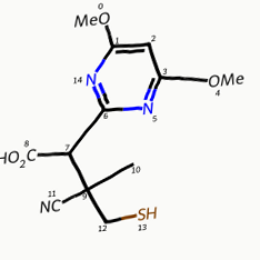 COc1cc(OC)nc(C(C(=O)O)C(C)(C#N)CS)n1